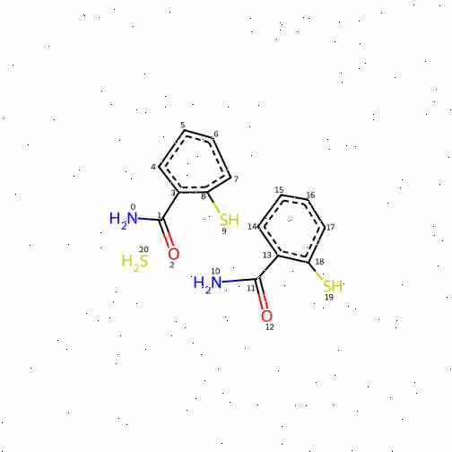 NC(=O)c1ccccc1S.NC(=O)c1ccccc1S.S